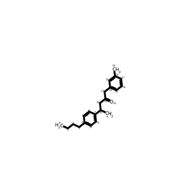 CCCCc1ccc(C(C)CC(=O)Cc2cccc(C)c2)cc1